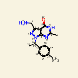 Cc1nc2c(c(CN)nn2[C@H](C)c2ccc(C(F)(F)F)cc2)c(=O)[nH]1